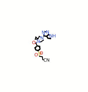 N#CCCCS(=O)(=O)c1ccc(C(=O)N2CCN(c3ncnc4[nH]ccc34)CC23CC3)cc1